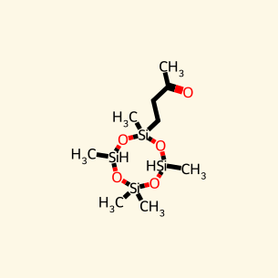 CC(=O)CC[Si]1(C)O[SiH](C)O[Si](C)(C)O[SiH](C)O1